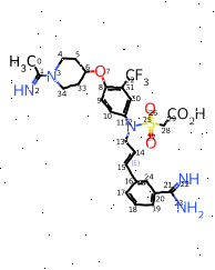 CC(=N)N1CCC(Oc2ccc(N(C/C=C/c3cccc(C(=N)N)c3)S(=O)(=O)CC(=O)O)cc2C(F)(F)F)CC1